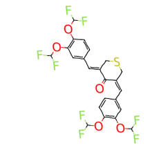 O=C1C(=Cc2ccc(OC(F)F)c(OC(F)F)c2)CSCC1=Cc1ccc(OC(F)F)c(OC(F)F)c1